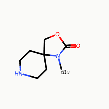 CC(C)(C)N1C(=O)OCC12CCNCC2